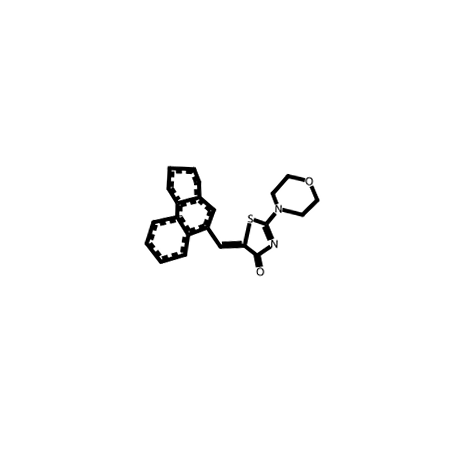 O=C1N=C(N2CCOCC2)SC1=Cc1cc2ccccc2c2ccccc12